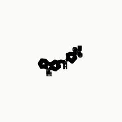 C=CS(=O)(=O)c1ccc(NCc2ccc3c(c2)c2ccccc2n3CC)cc1